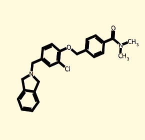 CN(C)C(=O)c1ccc(COc2ccc(CN3Cc4ccccc4C3)cc2Cl)cc1